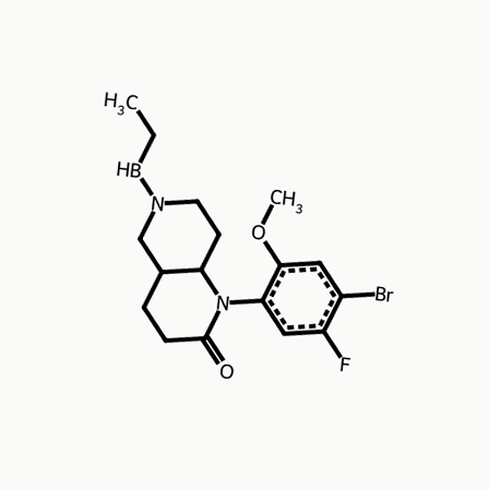 CCBN1CCC2C(CCC(=O)N2c2cc(F)c(Br)cc2OC)C1